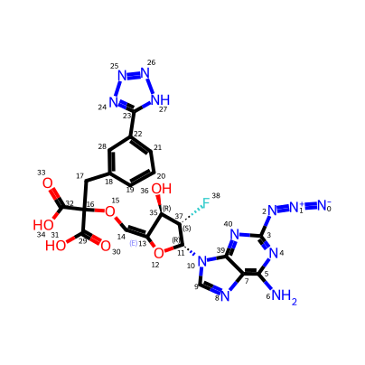 [N-]=[N+]=Nc1nc(N)c2ncn([C@@H]3O/C(=C/OC(Cc4cccc(-c5nnn[nH]5)c4)(C(=O)O)C(=O)O)[C@@H](O)[C@@H]3F)c2n1